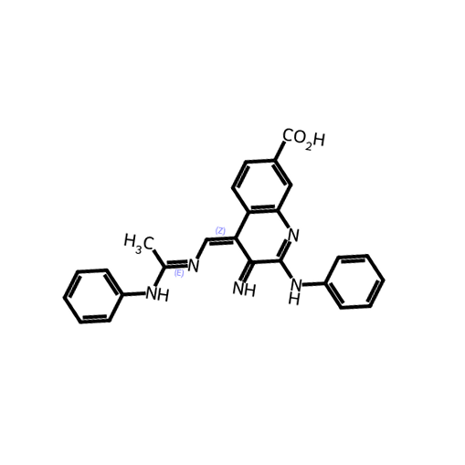 C/C(=N\C=C1/C(=N)C(Nc2ccccc2)=Nc2cc(C(=O)O)ccc21)Nc1ccccc1